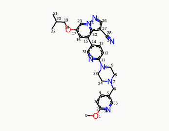 COc1ccc(CN2CCN(c3ccc(-c4cc(OCC(C)C)cn5ncc(C#N)c45)cn3)CC2)cn1